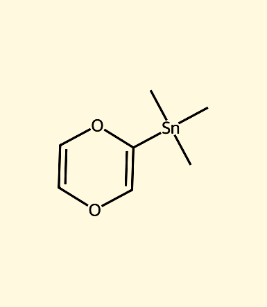 [CH3][Sn]([CH3])([CH3])[C]1=COC=CO1